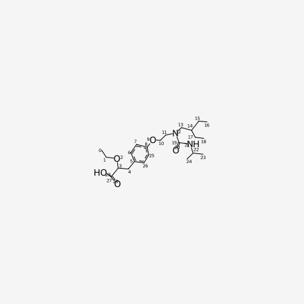 CCOC(Cc1ccc(OCCN(CC(CC)CC)C(=O)NC(C)C)cc1)C(=O)O